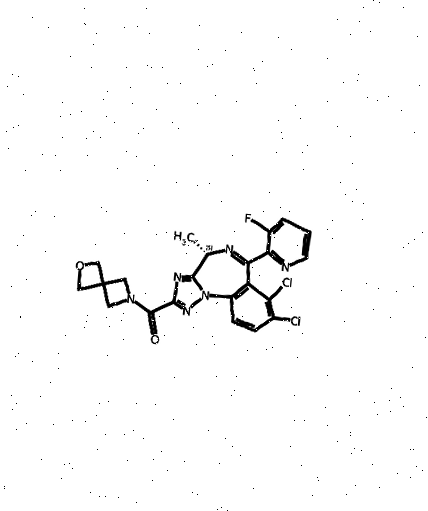 C[C@@H]1N=C(c2ncccc2F)c2c(ccc(Cl)c2Cl)-n2nc(C(=O)N3CC4(COC4)C3)nc21